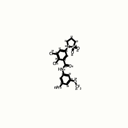 CCCc1cc(NC(=O)c2cc(N3CCCS3(=O)=O)cc(Cl)c2Cl)cc(OC(F)(F)F)c1